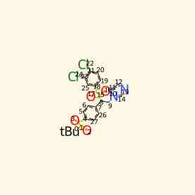 CC(C)(C)S(=O)(=O)c1ccc(C(Cn2ccnc2)S(=O)(=O)c2ccc(Cl)c(Cl)c2)cc1